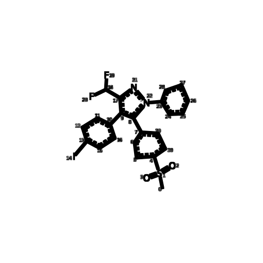 CS(=O)(=O)c1ccc(-c2c(-c3ccc(I)cc3)c(C(F)F)nn2-c2ccccc2)cc1